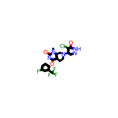 Cn1c2c(c(Oc3ccc(F)cc3C(F)(F)F)nc1=O)CCN(c1cn[nH]c(=O)c1Cl)C2